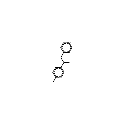 Cc1ccc(C(C)Cc2cc[c]cc2)cc1